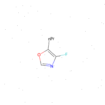 CCCc1ocnc1F